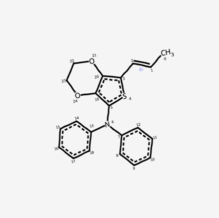 C/C=C/c1sc(N(c2ccccc2)c2ccccc2)c2c1OCCO2